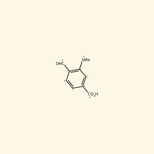 CSc1cc(C(=O)O)ccc1C=O